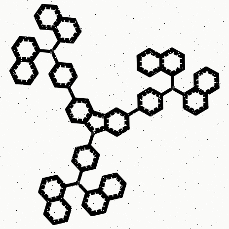 c1ccc2c(N(c3ccc(-c4ccc5c(c4)c4cc(-c6ccc(N(c7cccc8ccccc78)c7cccc8ccccc78)cc6)ccc4n5-c4ccc(N(c5cccc6ccccc56)c5cccc6ccccc56)cc4)cc3)c3cccc4ccccc34)cccc2c1